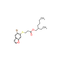 CCCCC(CC)COC(=O)CCSc1cc2occc2cc1Br